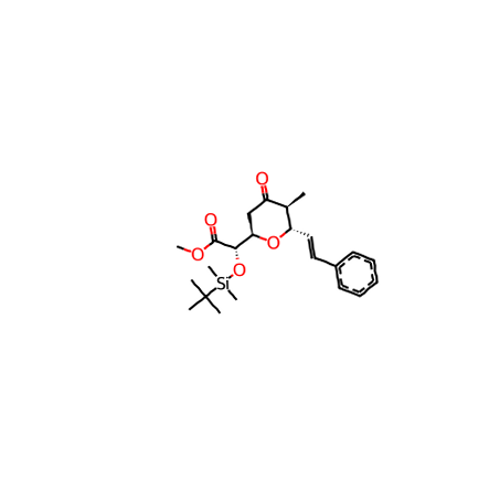 COC(=O)[C@@H](O[Si](C)(C)C(C)(C)C)[C@H]1CC(=O)[C@@H](C)[C@H](/C=C/c2ccccc2)O1